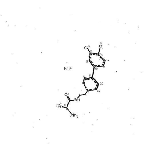 CCC[C@H](N)C(=O)NCCc1ccc(-c2ccc(Cl)c(Cl)c2)cc1.Cl